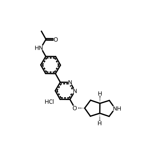 CC(=O)Nc1ccc(-c2ccc(O[C@@H]3C[C@H]4CNC[C@H]4C3)nn2)cc1.Cl